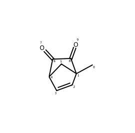 CC12C=CC(C1)C(=O)C2=O